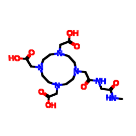 CNC(=O)CNC(=O)CN1CCN(CC(=O)O)CCN(CC(=O)O)CCN(CC(=O)O)CC1